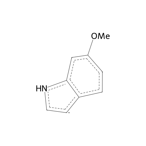 COc1ccc2[c]c[nH]c2c1